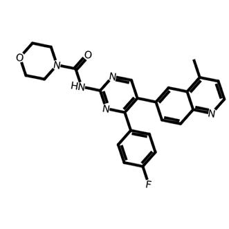 Cc1ccnc2ccc(-c3cnc(NC(=O)N4CCOCC4)nc3-c3ccc(F)cc3)cc12